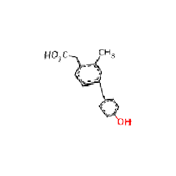 Cc1cc(-c2ccc(O)cc2)ccc1CC(=O)O